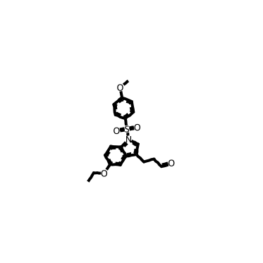 CCOc1ccc2c(c1)c(CCC=O)cn2S(=O)(=O)c1ccc(OC)cc1